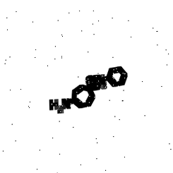 CC1(CNc2ccccc2)C=CC=C(N)C=C1